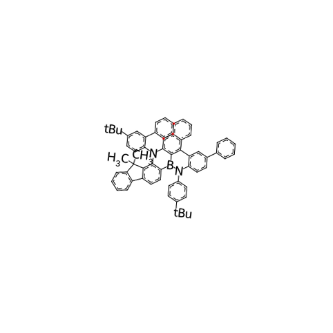 CC(C)(C)c1ccc(N2B3c4ccc5c(c4N(c4ccc(C(C)(C)C)cc4-c4ccccc4)c4cc6ccccc6c(c43)-c3cc(-c4ccccc4)ccc32)C(C)(C)c2ccccc2-5)cc1